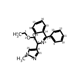 CCOC(=O)C(N=C(c1ccccc1)c1ccccc1)c1cnn(C)c1